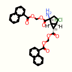 Cl.N[C@@]1(C(=O)OCOC(=O)c2cccc3ccccc23)CC[C@H]2[C@H](C(=O)OCOC(=O)c3cccc4ccccc34)[C@H]21